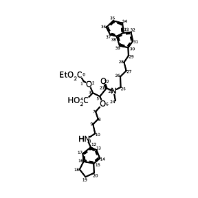 CCOC(=O)COC(C(=O)O)C(OCCCCNc1ccc2c(c1)CCC2)C(=O)N(C)CCCCCc1ccc2ccccc2c1